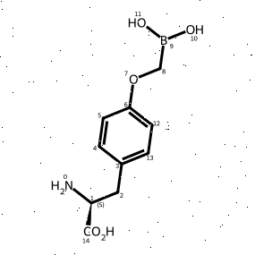 N[C@@H](Cc1ccc(OCB(O)O)cc1)C(=O)O